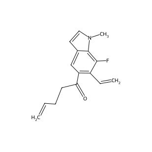 C=CCCC(=O)c1cc2ccn(C)c2c(F)c1C=C